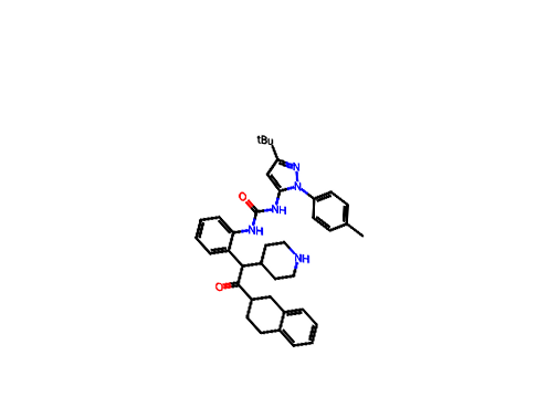 Cc1ccc(-n2nc(C(C)(C)C)cc2NC(=O)Nc2ccccc2C(C(=O)C2CCc3ccccc3C2)C2CCNCC2)cc1